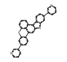 c1cncc(-c2ccc3c(c2)Sc2cccc4c2c-3cc2sc3cc(-c5cccnc5)ccc3c24)c1